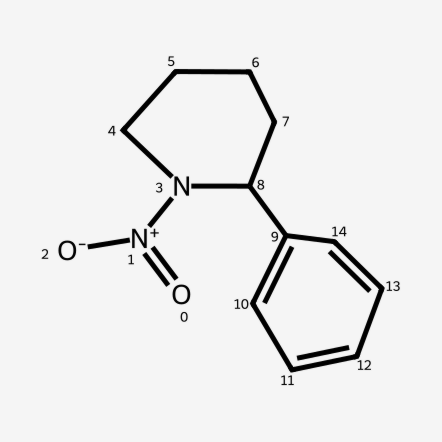 O=[N+]([O-])N1CCCCC1c1ccccc1